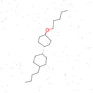 CCCCCO[C@H]1CC[C@H](C2CCC(CCCC)CC2)CC1